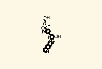 Cl.O=C(NOCCO)c1c(F)cc(-c2ccc3nnn(Cc4cc5cccnc5cc4F)c3n2)cc1F